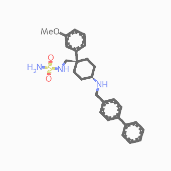 COc1cccc([C@]2(CNS(N)(=O)=O)CC[C@@H](NCc3ccc(-c4ccccc4)cc3)CC2)c1